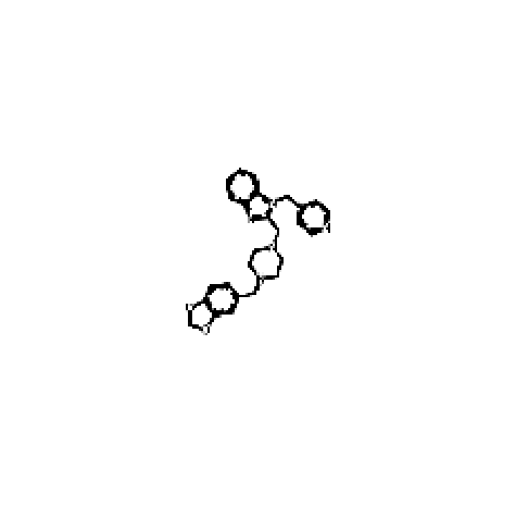 c1ccc2c(c1)nc(CN1CCN(Cc3ccc4c(c3)OCO4)CC1)n2Cc1ccncc1